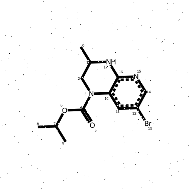 CC1CN(C(=O)OC(C)C)c2cc(Br)cnc2N1